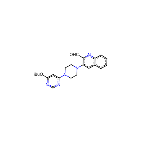 CC(C)COc1cc(N2CCN(c3cc4ccccc4nc3C=O)CC2)ncn1